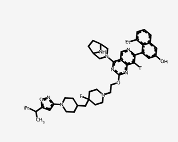 CCc1cccc2cc(O)cc(-c3ncc4c(N5CC6CCC(C5)N6)nc(OCCN5CCC(F)(CC6CCN(c7cc(C(C)C(C)C)on7)CC6)CC5)nc4c3F)c12